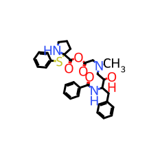 CN(CC(=O)OC(=O)[C@@]1(Sc2ccccc2)CCCN1)CC(O)C(Cc1ccccc1)NC(=O)c1ccccc1